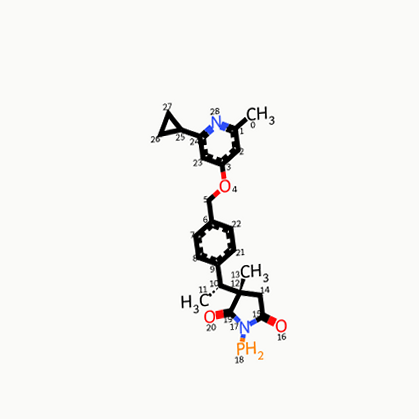 Cc1cc(OCc2ccc([C@@H](C)[C@]3(C)CC(=O)N(P)C3=O)cc2)cc(C2CC2)n1